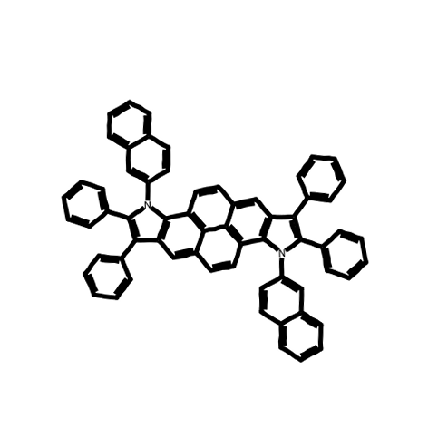 c1ccc(-c2c(-c3ccccc3)n(-c3ccc4ccccc4c3)c3c2cc2ccc4c5c(ccc3c25)cc2c(-c3ccccc3)c(-c3ccccc3)n(-c3ccc5ccccc5c3)c24)cc1